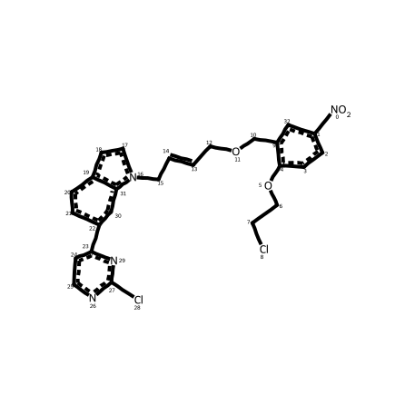 O=[N+]([O-])c1ccc(OCCCl)c(COC/C=C/Cn2ccc3ccc(-c4ccnc(Cl)n4)cc32)c1